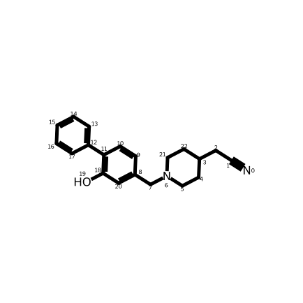 N#CCC1CCN(Cc2ccc(-c3ccccc3)c(O)c2)CC1